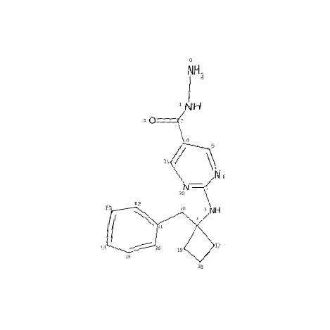 NNC(=O)c1cnc(NC2(Cc3ccccc3)CCC2)nc1